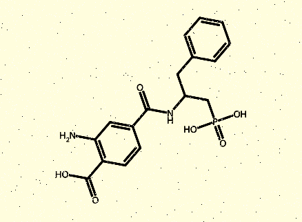 Nc1cc(C(=O)NC(Cc2ccccc2)CP(=O)(O)O)ccc1C(=O)O